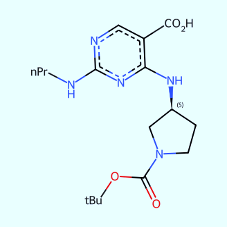 CCCNc1ncc(C(=O)O)c(N[C@H]2CCN(C(=O)OC(C)(C)C)C2)n1